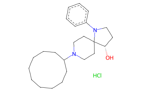 Cl.O[C@H]1CCN(c2ccccc2)C12CCN(C1CCCCCCCCC1)CC2